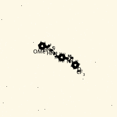 COc1ccccc1C(C)NC(=S)N/N=C/c1ccc(-c2ncn(-c3ccc(OC(F)(F)F)cc3)n2)cc1